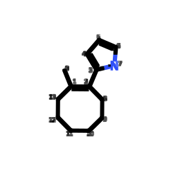 C/C1=C(\C2=CC=C[N]2)CCCCCC1